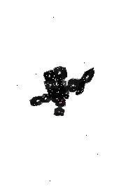 c1ccc(-c2ccc(C3N=C(c4ccc5c(c4)sc4ccccc45)N=C(c4c(-n5c6ccccc6c6cc7ccccc7cc65)ccc5oc6ccccc6c45)N3)cc2)cc1